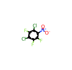 O=[N+]([O-])c1c(F)c(F)c(Cl)c(F)c1Cl